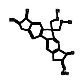 CCOCC1(COCC)c2cc3c(cc2-c2cc4c(cc21)C(=O)/C(=N/OC(C)=O)C4)CC(=N)C3=O